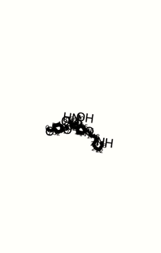 COc1ccc(S(=O)(=O)C(C)(Cc2ccc(OCCC3CCCCN3)cc2)C(=O)NO)cc1